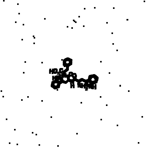 N[C@@H](Cc1c[nH]c2ccccc12)C(=O)N[C@@H](Cc1c[nH]c2ccccc12)C(=O)N[C@@H](Cc1ccccc1)C(=O)O